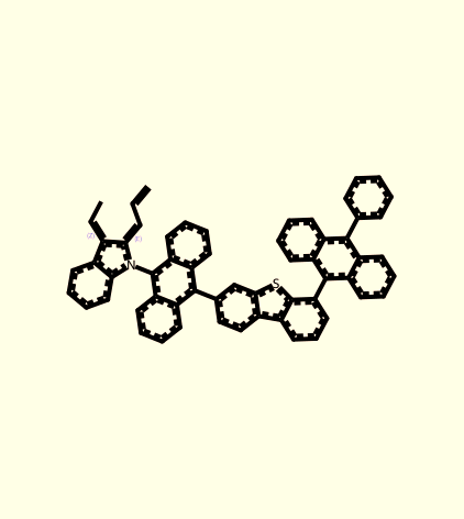 C=C/C=c1\c(=C/C)c2ccccc2n1-c1c2ccccc2c(-c2ccc3c(c2)sc2c(-c4c5ccccc5c(-c5ccccc5)c5ccccc45)cccc23)c2ccccc12